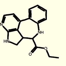 CCOC(=O)C1Nc2ccccc2-c2ccnc3c2C1CN3